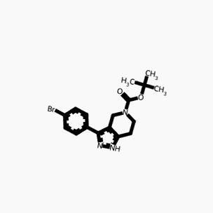 CC(C)(C)OC(=O)N1CCc2[nH]nc(-c3ccc(Br)cc3)c2C1